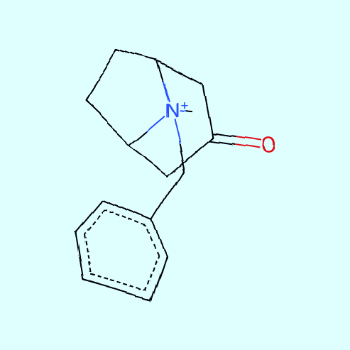 C[N+]1(Cc2ccccc2)C2CCC1CC(=O)C2